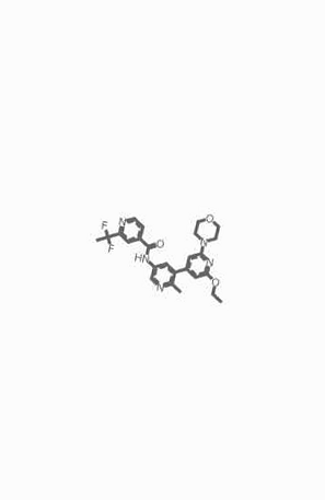 CCOc1cc(-c2cc(NC(=O)c3ccnc(C(C)(F)F)c3)cnc2C)cc(N2CCOCC2)n1